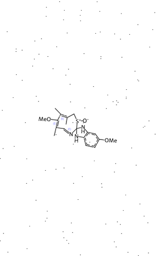 COC1=C(C)/C=N/C2(Nc3ccc(OC)cc3N2)[S+]([O-])C\C(C)=C\1C